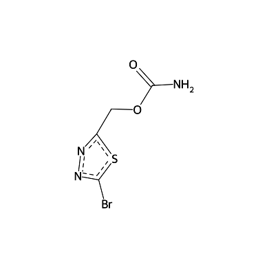 NC(=O)OCc1nnc(Br)s1